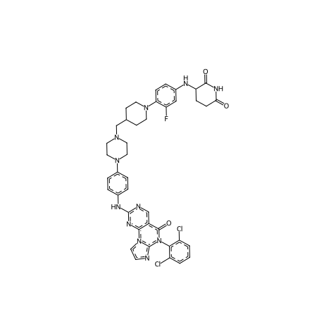 O=C1CCC(Nc2ccc(N3CCC(CN4CCN(c5ccc(Nc6ncc7c(=O)n(-c8c(Cl)cccc8Cl)c8nccn8c7n6)cc5)CC4)CC3)c(F)c2)C(=O)N1